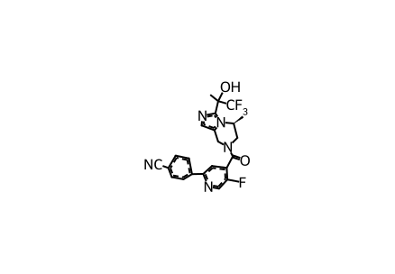 C[C@H]1CN(C(=O)c2cc(-c3ccc(C#N)cc3)ncc2F)Cc2cnc(C(C)(O)C(F)(F)F)n21